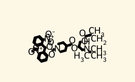 C=C(C)C(=O)OCC(CNC(C)(C)C)OC(=O)C1CCN(C(=O)OC(c2ccccc2[N+](=O)[O-])c2ccccc2[N+](=O)[O-])CC1